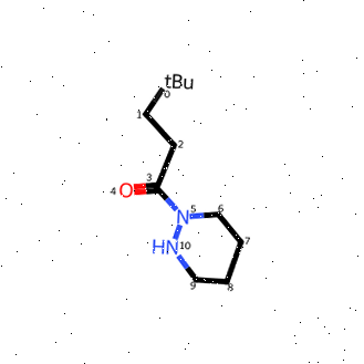 CC(C)(C)CCC(=O)N1CCCCN1